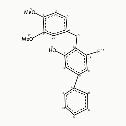 COc1ccc(Cc2c(O)cc(-c3ccccc3)cc2F)cc1OC